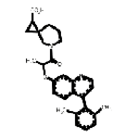 Cc1cccc(C)c1-c1ccnc2cc(OC(C)C(=O)N3CCCC4(CC4C(=O)O)C3)ccc12